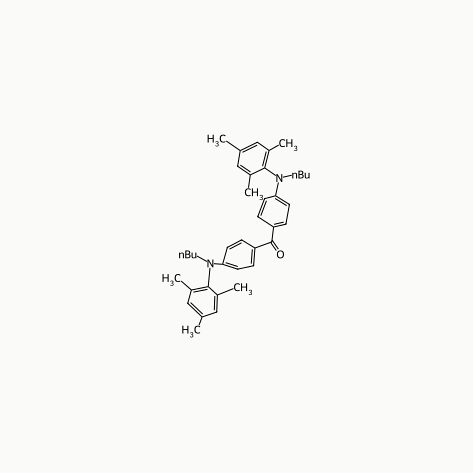 CCCCN(c1ccc(C(=O)c2ccc(N(CCCC)c3c(C)cc(C)cc3C)cc2)cc1)c1c(C)cc(C)cc1C